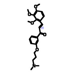 COc1ccc(/C=C/C(=O)c2cccc(OCCCN(C)C)c2)c(OC)c1OC